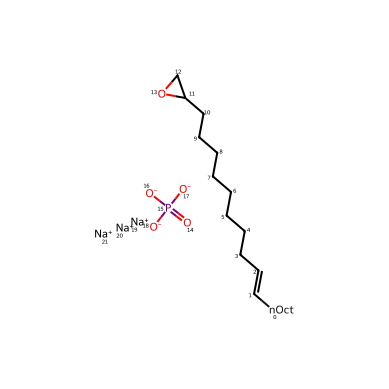 CCCCCCCCC=CCCCCCCCCC1CO1.O=P([O-])([O-])[O-].[Na+].[Na+].[Na+]